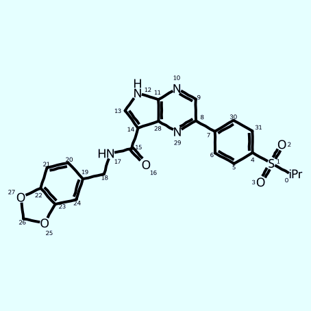 CC(C)S(=O)(=O)c1ccc(-c2cnc3[nH]cc(C(=O)NCc4ccc5c(c4)OCO5)c3n2)cc1